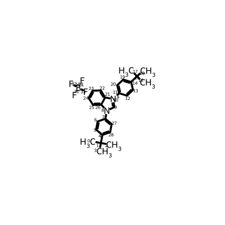 CC(C)(C)c1ccc(-n2c[n+](-c3ccc(C(C)(C)C)cc3)c3ccccc32)cc1.F[B-](F)(F)F